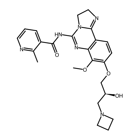 COc1c(OC[C@@H](O)CN2CCC2)ccc2c1N=C(NC(=O)c1cccnc1C)N1CCN=C21